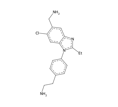 CCc1nc2cc(CN)c(Cl)cc2n1-c1ccc(CCN)cc1